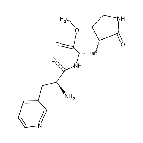 COC(=O)[C@H](C[C@@H]1CCNC1=O)NC(=O)[C@@H](N)Cc1cccnc1